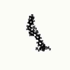 Cc1c(C(=O)N2CCC(N3CCC(N(C)S(C)(=O)=O)CC3)CC2)ncnc1N1CCC(c2ccc(C(F)(F)F)cc2)C1